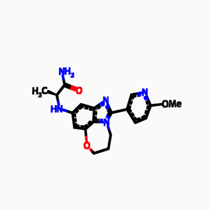 COc1ccc(-c2nc3cc(N[C@@H](C)C(N)=O)cc4c3n2CCCO4)cn1